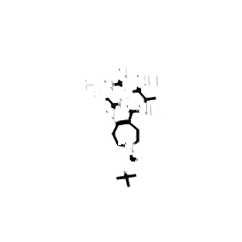 CC(Nc1nc(Cl)nc2c1CCN(C(=O)OC(C)(C)C)CC2)C(=N)SC(=N)N